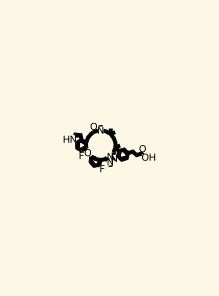 CN1CC(C)(C)CCC(C)(c2cccc(CCC(=O)O)c2)c2nc(n(C)n2)-c2cc(ccc2F)Oc2c(F)cc3[nH]ccc3c2CCC1=O